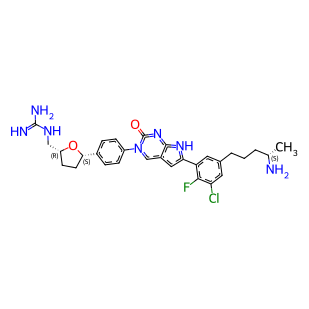 C[C@H](N)CCCc1cc(Cl)c(F)c(-c2cc3cn(-c4ccc([C@@H]5CC[C@H](CNC(=N)N)O5)cc4)c(=O)nc3[nH]2)c1